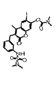 Cc1c(Cc2cccc(NS(=O)(=O)N(C)C)c2)c(=O)oc2cc(OC(=O)N(C)C)c(I)cc12